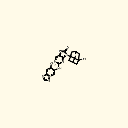 Cc1cc2ncnn2cc1Nc1ncc2[nH]c(=O)n(C34CC5CC6(O)CC(C3)C64C5)c2n1